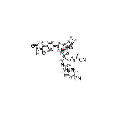 C[C@@H](C#N)CCc1cc(-c2ccc3cc(C#N)cnn23)ncc1-c1nnc(N2CC3CCC(C2)N3CC2CCN(c3ccc([C@@H]4CCC(=O)NC4=O)cn3)CC2)s1